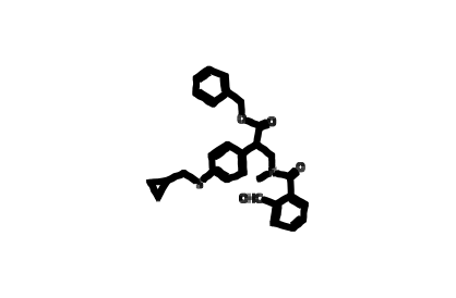 CN(CC(C(=O)OCc1ccccc1)c1ccc(SCC2CC2)cc1)C(=O)c1ccccc1C=O